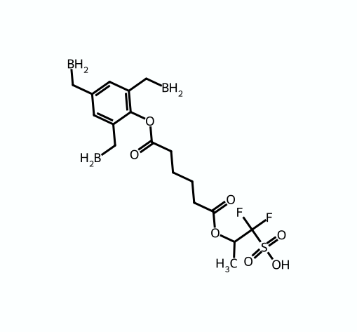 BCc1cc(CB)c(OC(=O)CCCCC(=O)OC(C)C(F)(F)S(=O)(=O)O)c(CB)c1